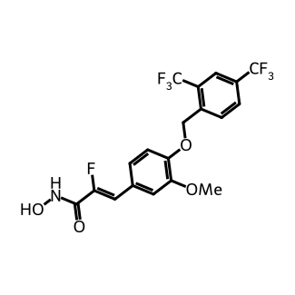 COc1cc(/C=C(\F)C(=O)NO)ccc1OCc1ccc(C(F)(F)F)cc1C(F)(F)F